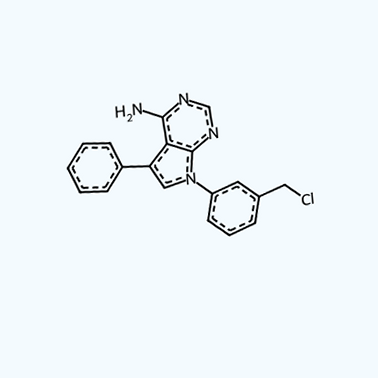 Nc1ncnc2c1c(-c1ccccc1)cn2-c1cccc(CCl)c1